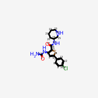 NC(=O)Nc1cc(-c2ccc(Cl)cc2)sc1C(=O)N[C@H]1CCCCNC1